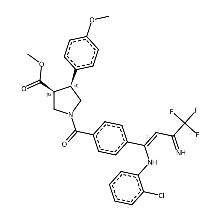 COC(=O)[C@@H]1CN(C(=O)c2ccc(/C(=C/C(=N)C(F)(F)F)Nc3ccccc3Cl)cc2)C[C@@H]1c1ccc(OC)cc1